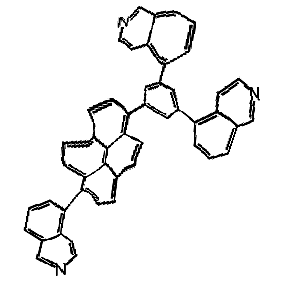 c1cc(-c2cc(-c3cccc4cnccc34)cc(-c3ccc4ccc5c(-c6cccc7cnccc67)ccc6ccc3c4c65)c2)c2ccncc2c1